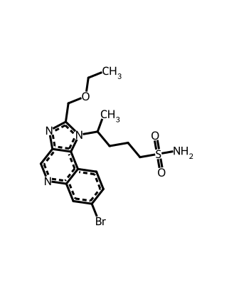 CCOCc1nc2cnc3cc(Br)ccc3c2n1C(C)CCCS(N)(=O)=O